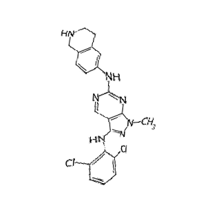 Cn1nc(Nc2c(Cl)cccc2Cl)c2cnc(Nc3ccc4c(c3)CCNC4)nc21